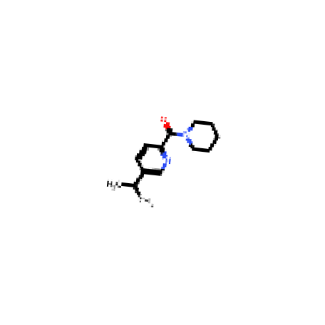 CC(C)c1ccc(C(=O)N2CCCCC2)nc1